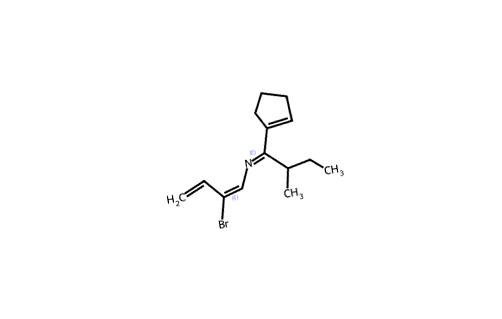 C=C/C(Br)=C\N=C(\C1=CCCC1)C(C)CC